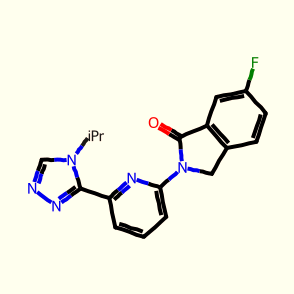 CC(C)n1cnnc1-c1cccc(N2Cc3ccc(F)cc3C2=O)n1